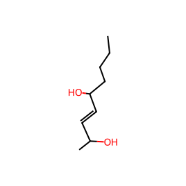 CCCCC(O)C=CC(C)O